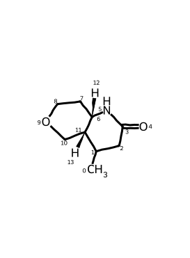 CC1CC(=O)N[C@H]2CCOC[C@@H]12